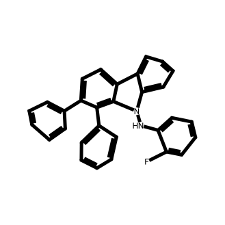 Fc1ccccc1Nn1c2ccccc2c2ccc(-c3ccccc3)c(-c3ccccc3)c21